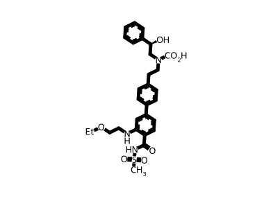 CCOCCNc1cc(-c2ccc(CCN(C[C@H](O)c3ccccc3)C(=O)O)cc2)ccc1C(=O)NS(C)(=O)=O